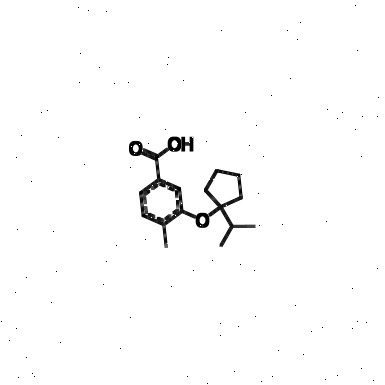 Cc1ccc(C(=O)O)cc1OC1(C(C)C)CCCC1